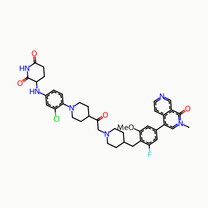 COc1cc(-c2cn(C)c(=O)c3cnccc23)cc(F)c1CC1CCN(CC(=O)C2CCN(c3ccc(NC4CCC(=O)NC4=O)cc3Cl)CC2)CC1